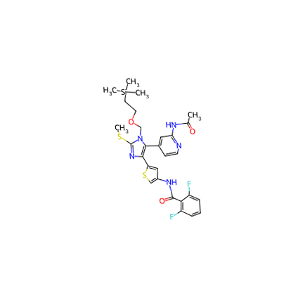 CSc1nc(-c2cc(NC(=O)c3c(F)cccc3F)cs2)c(-c2ccnc(NC(C)=O)c2)n1COCC[Si](C)(C)C